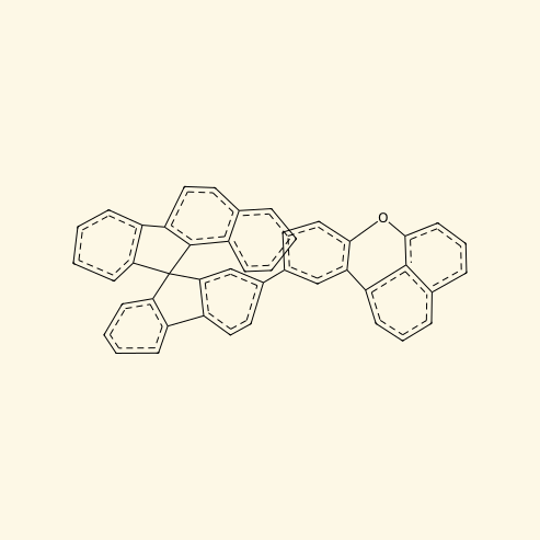 c1ccc2c(c1)-c1ccc(-c3ccc4c(c3)-c3cccc5cccc(c35)O4)cc1C21c2ccccc2-c2ccc3ccccc3c21